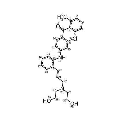 Cc1ccccc1C(=O)c1ccc(Nc2ccccc2C=CCN(CCO)CCO)cc1Cl